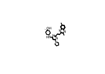 Cc1ccc2nc(C)c(/C=C/c3nc(N[C@H]4CC[C@](C)(O)CC4)cc(N4CCCC4)n3)nc2c1